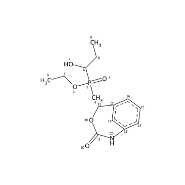 CCOP(C)(=O)C(O)CC.O=C1Nc2cccc(c2)CO1